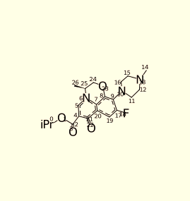 CC(C)OC(=O)c1cn2c3c(c(N4CCN(C)CC4)c(F)cc3c1=O)OC[C@@H]2C